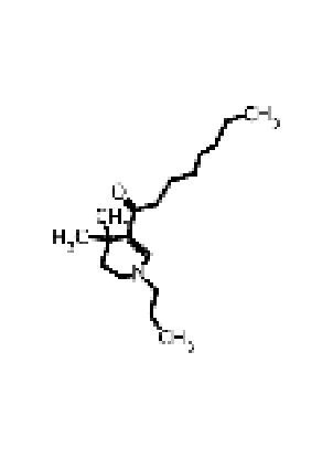 CCCCCCCC(=O)C1=CN(CCC)CCC1(C)C